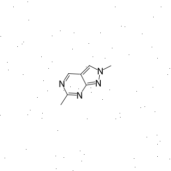 Cc1ncc2cn(C)nc2n1